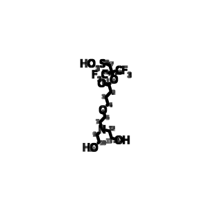 O=C(CCCOCCN(CCO)CCO)OC(CS(=O)(=O)O)(C(F)(F)F)C(F)(F)F